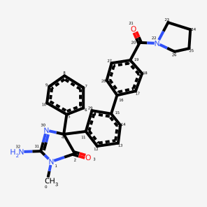 CN1C(=O)C(c2ccccc2)(c2cccc(-c3ccc(C(=O)N4CCCC4)cc3)c2)N=C1N